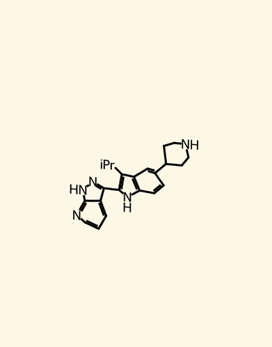 CC(C)c1c(-c2n[nH]c3ncccc23)[nH]c2ccc(C3CCNCC3)cc12